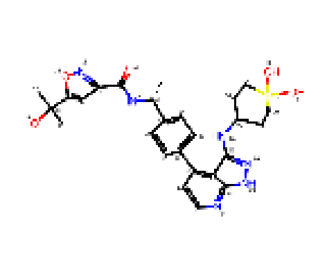 C[C@@H](NC(=O)c1cc(C(C)(C)O)on1)c1ccc(-c2ccnc3[nH]nc(NC4CCS(O)(O)CC4)c23)cc1